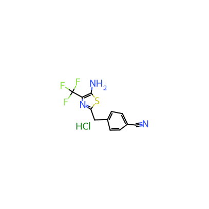 Cl.N#Cc1ccc(Cc2nc(C(F)(F)F)c(N)s2)cc1